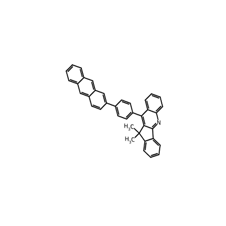 CC1(C)c2ccccc2-c2nc3ccccc3c(-c3ccc(-c4ccc5cc6ccccc6cc5c4)cc3)c21